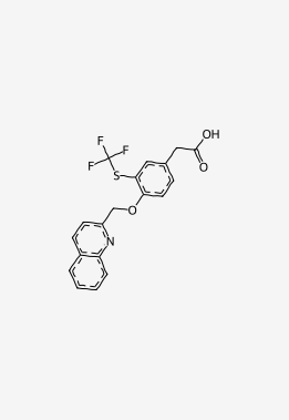 O=C(O)Cc1ccc(OCc2ccc3ccccc3n2)c(SC(F)(F)F)c1